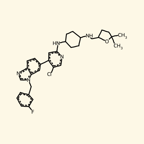 CC1(C)CCC(CNC2CCC(Nc3cc(-c4ccc5ncn(Cc6cccc(F)c6)c5c4)c(Cl)cn3)CC2)O1